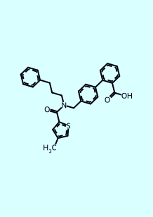 Cc1csc(C(=O)N(CCCc2ccccc2)Cc2ccc(-c3ccccc3C(=O)O)cc2)c1